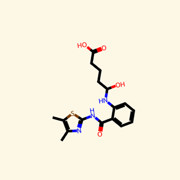 Cc1nc(NC(=O)c2ccccc2NC(O)CCCC(=O)O)sc1C